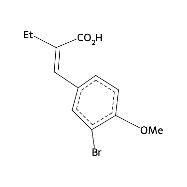 CCC(=Cc1ccc(OC)c(Br)c1)C(=O)O